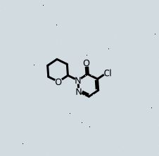 O=c1c(Cl)ccnn1C1CCCCO1